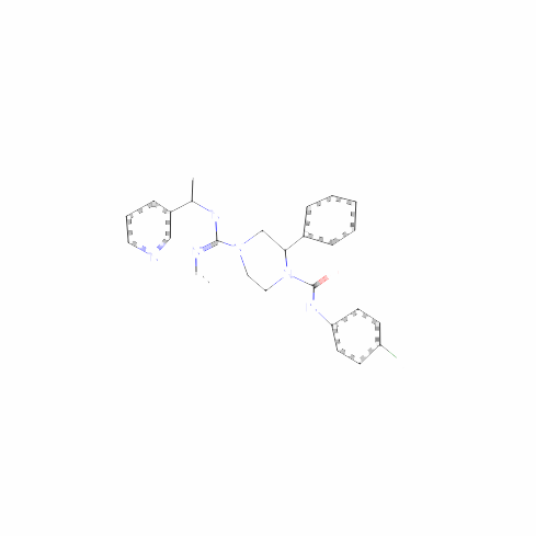 CC(N/C(=N/C#N)N1CCN(C(=O)Nc2ccc(Cl)cc2)C(c2ccccc2)C1)c1cccnc1